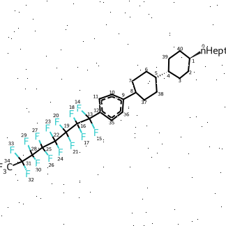 CCCCCCC[C@H]1CC[C@H](C2CCC(c3ccc(C(F)(F)C(F)(F)C(F)(F)C(F)(F)C(F)(F)C(F)(F)C(F)(F)C(F)(F)F)cc3)CC2)CC1